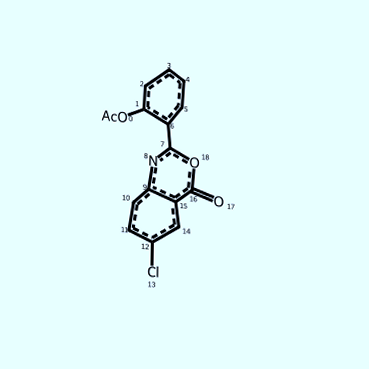 CC(=O)Oc1ccccc1-c1nc2ccc(Cl)cc2c(=O)o1